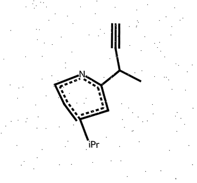 C#CC(C)c1cc(C(C)C)ccn1